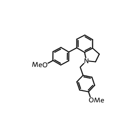 COc1ccc(CN2CCc3cccc(-c4ccc(OC)cc4)c32)cc1